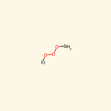 CCOOO[SiH3]